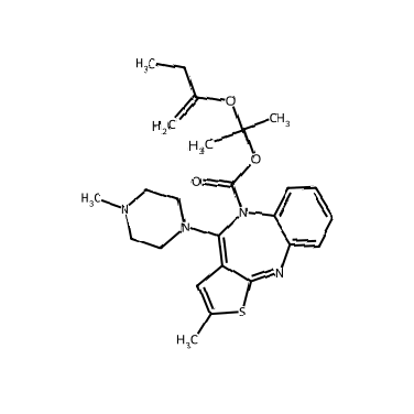 C=C(CC)OC(C)(C)OC(=O)N1C(N2CCN(C)CC2)=c2cc(C)sc2=Nc2ccccc21